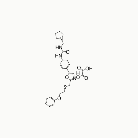 O=C(NCN1CCCC1)Nc1ccc(-c2cnc(CSCCOc3ccccc3)o2)cc1.O=C(O)C(=O)O